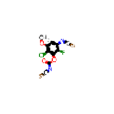 COc1cc(N=C=S)c(F)c(OC(=O)N=C=S)c1Cl